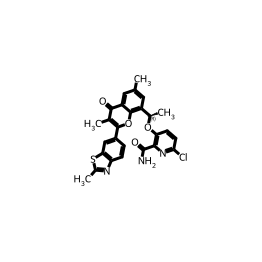 Cc1cc([C@@H](C)Oc2ccc(Cl)nc2C(N)=O)c2oc(-c3ccc4nc(C)sc4c3)c(C)c(=O)c2c1